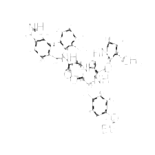 CCOc1ccc(C[C@@H](NC(=O)Oc2[nH]ccc2C)C(=O)N[C@@H](Cc2ccccc2)C(=O)NCc2ccc(CN)cc2)cc1